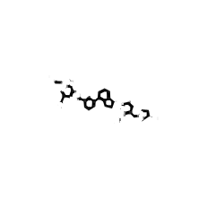 C/N=c1/c2nc(-c3cccc(-c4cccc5c4CC[C@@H]5Oc4nc(OC)c(CN5CC[C@@H](O)C5)cc4Cl)c3Cl)oc2c(C#N)cn1CCO